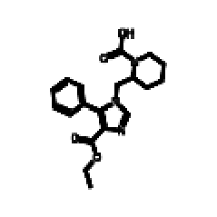 CCOC(=O)c1ncn(CC2CCCCN2C(=O)O)c1-c1ccccc1